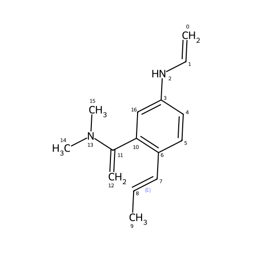 C=CNc1ccc(/C=C/C)c(C(=C)N(C)C)c1